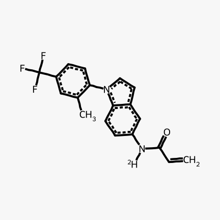 [2H]N(C(=O)C=C)c1ccc2c(ccn2-c2ccc(C(F)(F)F)cc2C)c1